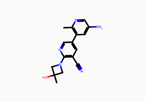 Cc1ncc(N)cc1-c1cnc(N2CC(C)(O)C2)c(C#N)c1